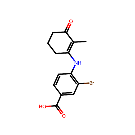 CC1=C(Nc2ccc(C(=O)O)cc2Br)CCCC1=O